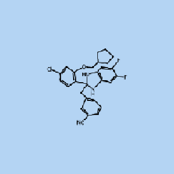 N#Cc1cccc(CC2(c3ccc(Cl)cc3OCC3CCCC3)Nc3cc(F)c(F)cc3N2)c1